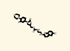 O=C(NCCNc1ccc2cc(Cl)ccc2n1)OCC1CN(c2ccc(N3CCOCC3)c(F)c2)C(=O)O1